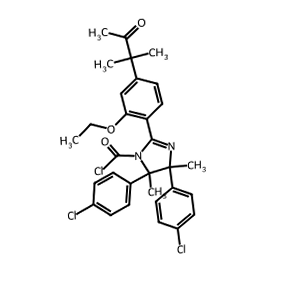 CCOc1cc(C(C)(C)C(C)=O)ccc1C1=NC(C)(c2ccc(Cl)cc2)C(C)(c2ccc(Cl)cc2)N1C(=O)Cl